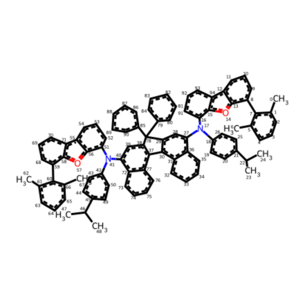 Cc1cccc(C)c1-c1cccc2c1oc1c(N(c3ccc(C(C)C)cc3)c3cc4c(c5ccccc35)-c3c(cc(N(c5ccc(C(C)C)cc5)c5cccc6c5oc5c(-c7c(C)cccc7C)cccc56)c5ccccc35)C4(c3ccccc3)c3ccccc3)cccc12